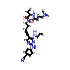 CCCNc1nc(Nc2ccc(C#N)cc2)ncc1C#CCCCNC(=O)C(CC)N(C)C(=O)/C=C/CN(C)C